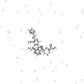 C=CC(=O)N1CCC[C@@H](n2nc(-c3ccc(OCc4nccs4)c(Cl)c3)c3c(N)ncnc32)C1